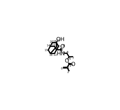 C=C(C)C(=O)OC(C)CNC(=O)C12CC3CC(CC(O)(C3)C1)C2